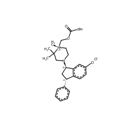 CC(C)(C)C(=O)OC[N@+]1(C)CCN([C@@H]2C[C@@H](c3ccccc3)c3ccc(Cl)cc32)CC1(C)C.[Cl-]